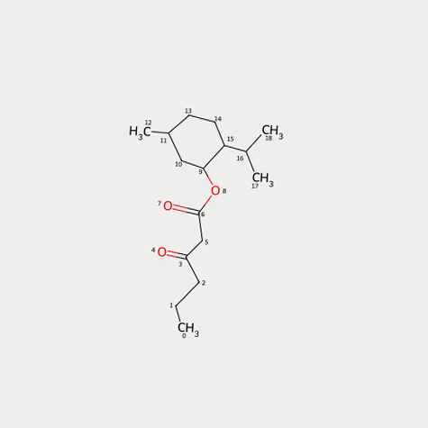 CCCC(=O)CC(=O)OC1CC(C)CCC1C(C)C